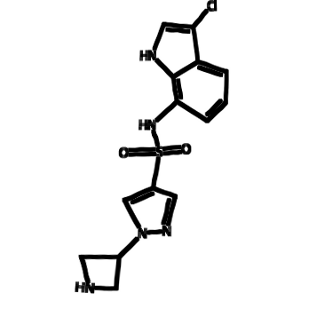 O=S(=O)(Nc1cccc2c(Cl)c[nH]c12)c1cnn(C2CNC2)c1